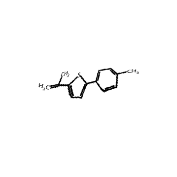 C=C(C)c1ccc(-c2ccc(C)cc2)s1